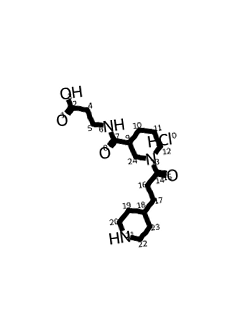 Cl.O=C(O)CCNC(=O)C1CCCN(C(=O)CCC2CCNCC2)C1